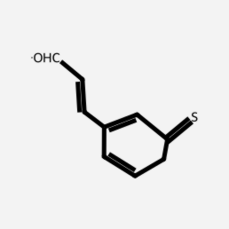 O=[C]C=CC1=CC(=S)CC=C1